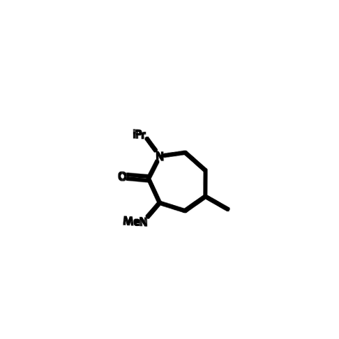 CNC1CC(C)CCN(C(C)C)C1=O